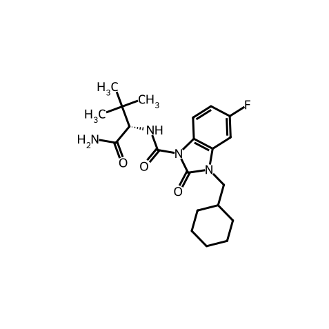 CC(C)(C)[C@H](NC(=O)n1c(=O)n(CC2CCCCC2)c2cc(F)ccc21)C(N)=O